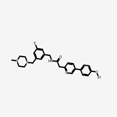 CCOc1ccc(-c2ccc(CC(=O)NCc3cc(F)cc(CN4CCN(C)CC4)c3)nc2)cc1